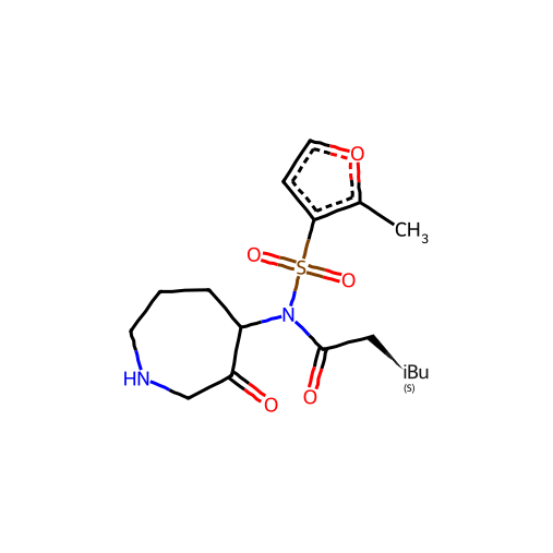 [CH2]C[C@H](C)CC(=O)N(C1CCCNCC1=O)S(=O)(=O)c1ccoc1C